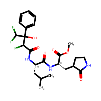 COC(=O)[C@H](CC1CCNC1=O)NC(=O)[C@H](CC(C)C)NC(=O)C(F)C(O)(c1ccccc1)C(F)F